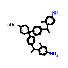 CCCCCCCCCCC1CCC(c2ccc(C(C)c3ccc(N)cc3C)cc2)(c2ccc(C(C)c3ccc(N)cc3C)cc2)CC1